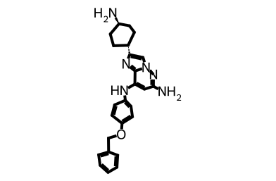 Nc1cc(Nc2ccc(OCc3ccccc3)cc2)c2nc([C@H]3CC[C@H](N)CC3)cn2n1